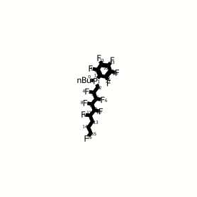 CCCCP(CC(F)C(F)C(F)C(F)C(F)CCCF)c1c(F)c(F)c(F)c(F)c1F